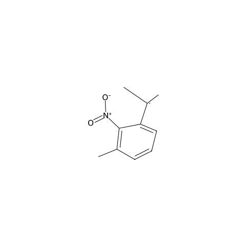 C[C](C)c1cccc(C)c1[N+](=O)[O-]